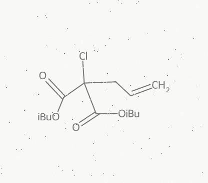 C=CCC(Cl)(C(=O)OCC(C)C)C(=O)OCC(C)C